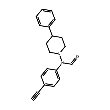 C#Cc1ccc(N(C=O)N2CCC(c3ccccc3)CC2)cc1